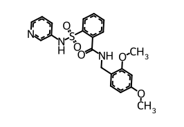 COc1ccc(CNC(=O)c2ccccc2S(=O)(=O)Nc2cccnc2)c(OC)c1